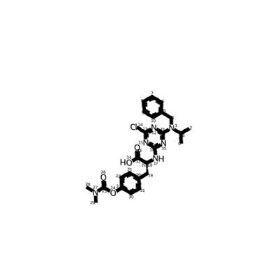 CC(C)N(Cc1ccccc1)c1nc(Cl)nc(N[C@@H](Cc2ccc(OC(=O)N(C)C)cc2)C(=O)O)n1